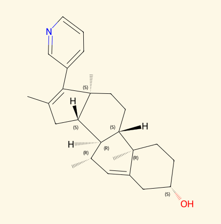 CC1=C(c2cccnc2)[C@@]2(C)CC[C@H]3[C@@H]([C@@H](C)C=C4C[C@@H](O)CC[C@@]43C)[C@@H]2C1